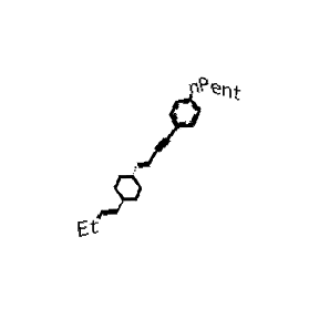 CCC=C[C@H]1CC[C@H](C=CC#Cc2ccc(CCCCC)cc2)CC1